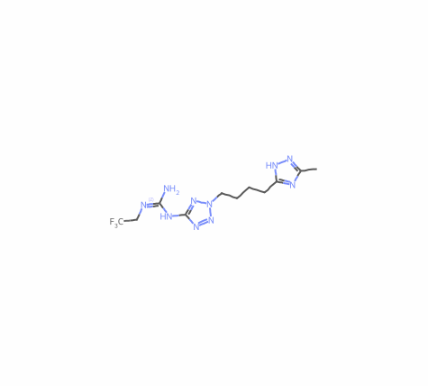 Cc1n[nH]c(CCCCn2nnc(N/C(N)=N\CC(F)(F)F)n2)n1